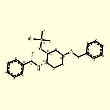 C[C@H](N[C@H]1CC[C@H](OCc2ccccc2)C[C@@H]1O[Si](C)(C)C(C)(C)C)c1ccccc1